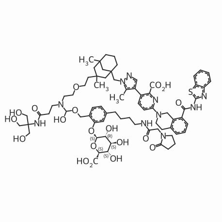 Cc1c(-c2ccc(N3CCc4cccc(C(=O)Nc5nc6ccccc6s5)c4C3)nc2C(=O)O)cnn1CC12CCCC(C)(CC(C)(CCOCCN(CCC(=O)NC(CO)(CO)CO)C(O)OCc3ccc(CCCCNC(=O)CN4CCCC4=O)cc3O[C@@H]3O[C@H](C(=O)O)[C@@H](O)[C@H](O)[C@H]3O)C1)C2